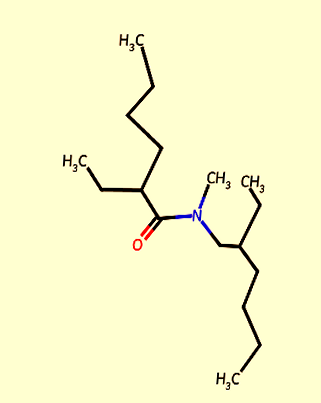 CCCCC(CC)CN(C)C(=O)C(CC)CCCC